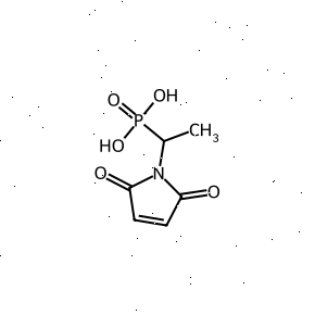 CC(N1C(=O)C=CC1=O)P(=O)(O)O